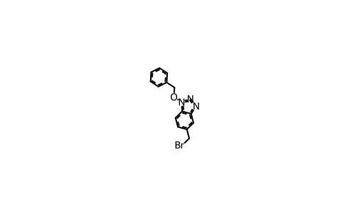 BrCc1ccc2c(c1)nnn2OCc1ccccc1